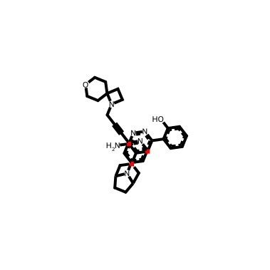 Nc1nnc(-c2ccccc2O)cc1N1CC2CCC(C1)N2c1ccnc(C#CCN2CCC23CCOCC3)c1